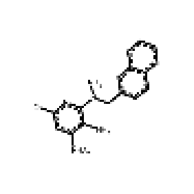 CC(=O)Nc1cc(Cl)nc(N(N)Cc2ccc3ncccc3c2)c1N